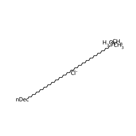 CCCCCCCCCCCCCCCCCCCCCCCCCCCCCCCCCCCCCCCCCCCCCCCCCCCCCC[P+](C)(C)C.[Cl-]